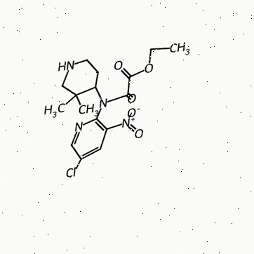 CCOC(=O)C(=O)N(c1ncc(Cl)cc1[N+](=O)[O-])C1CCNCC1(C)C